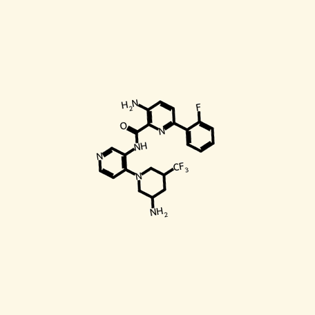 Nc1ccc(-c2ccccc2F)nc1C(=O)Nc1cnccc1N1CC(N)CC(C(F)(F)F)C1